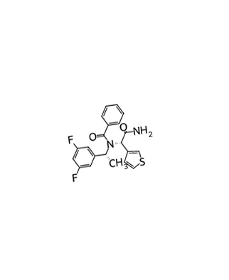 C[C@H](c1cc(F)cc(F)c1)N(C(=O)c1ccccc1)[C@H](C(N)=O)c1ccsc1